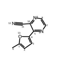 Cc1ccc(-c2nccnc2C#N)o1